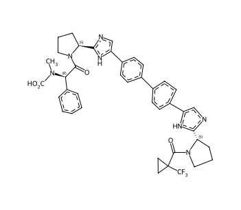 CN(C(=O)O)[C@@H](C(=O)N1CCC[C@H]1c1ncc(-c2ccc(-c3ccc(-c4cnc([C@@H]5CCCN5C(=O)C5(C(F)(F)F)CC5)[nH]4)cc3)cc2)[nH]1)c1ccccc1